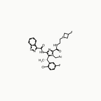 CC(=O)Cn1c(C(=O)NCCN2CC(F)C2)nc(NC(=O)c2nsc3ccccc23)c1[C@@H](C)c1cc(F)ccc1Cl